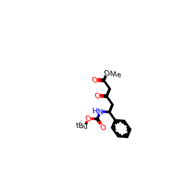 COC(=O)CC(=O)CC(NC(=O)OC(C)(C)C)c1ccccc1